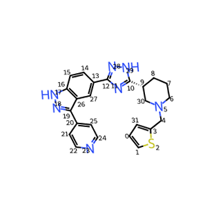 c1csc(CN2CCC[C@@H](c3nc(-c4ccc5[nH]nc(-c6ccncc6)c5c4)n[nH]3)C2)c1